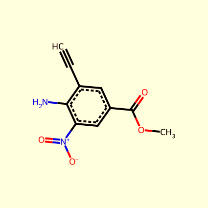 C#Cc1cc(C(=O)OC)cc([N+](=O)[O-])c1N